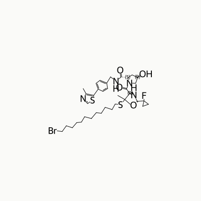 Cc1ncsc1-c1ccc(CNC(=O)[C@@H]2C[C@@H](O)CN2C(=O)[C@@H](NC(=O)C2(F)CC2)C(C)(C)SCCCCCCCCCCCCBr)cc1